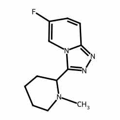 CN1CCCCC1c1nnc2ccc(F)cn12